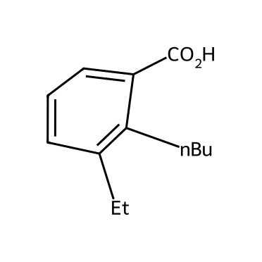 [CH2]CCCc1c(CC)cccc1C(=O)O